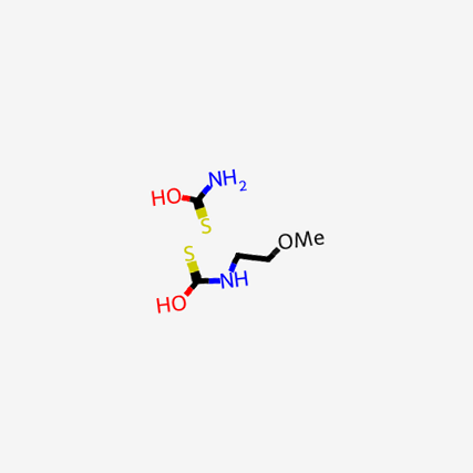 COCCNC(O)=S.NC(O)=S